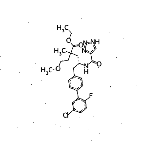 CCOC(=O)C(C)(CCOC)C[C@@H](Cc1ccc(-c2cc(Cl)ccc2F)cc1)NC(=O)c1c[nH]nn1